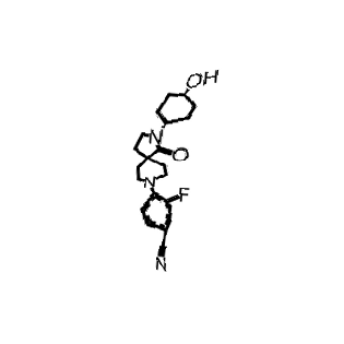 N#Cc1ccc(N2CCC3(CC2)CCN([C@H]2CC[C@H](O)CC2)C3=O)c(F)c1